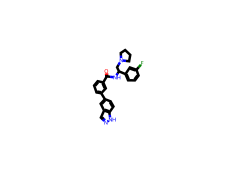 O=C(NC(CN1CCCC1)c1cccc(F)c1)c1cccc(-c2ccc3[nH]ncc3c2)c1